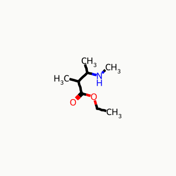 CCOC(=O)C(C)C(C)NC